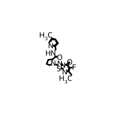 CCc1nc2sc(N3CCCC3C(=O)NCc3ccc(C)cn3)nn2c(=O)c1F